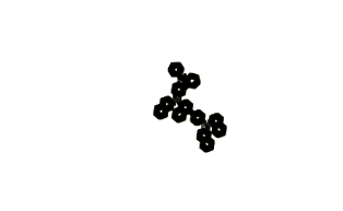 C1=CC2c3cc(N(c4ccc5ccccc5c4)c4ccc(-c5ccc(N(c6ccc7ccccc7c6)c6cccc7ccccc67)cc5)c5ccccc45)ccc3N(c3ccccc3)C2C=C1